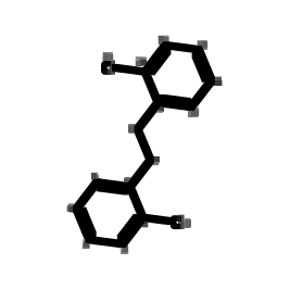 Clc1ccccc1CCc1ccccc1Cl